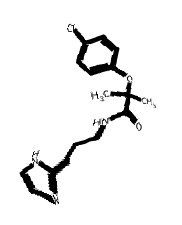 CC(C)(Oc1ccc(Cl)cc1)C(=O)NCCCc1ncc[nH]1